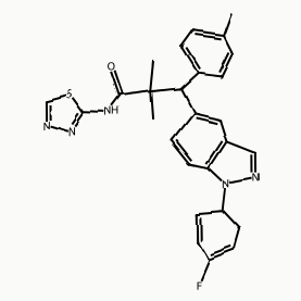 Cc1ccc(C(c2ccc3c(cnn3C3C=CC(F)=CC3)c2)C(C)(C)C(=O)Nc2nncs2)cc1